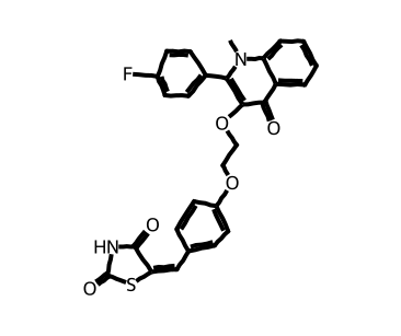 Cn1c(-c2ccc(F)cc2)c(OCCOc2ccc(C=C3SC(=O)NC3=O)cc2)c(=O)c2ccccc21